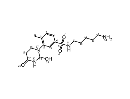 Cc1ccc(S(=O)(=O)NCCCCCN)cc1N1CCC(=O)NC1O